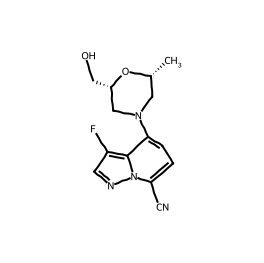 C[C@@H]1CN(c2ccc(C#N)n3ncc(F)c23)C[C@H](CO)O1